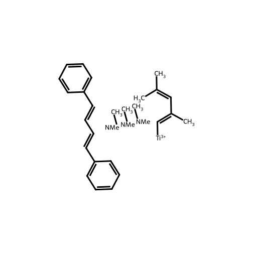 C(C=Cc1ccccc1)=Cc1ccccc1.CC(C)=CC(C)=[CH][Ti+3].C[N-]C.C[N-]C.C[N-]C